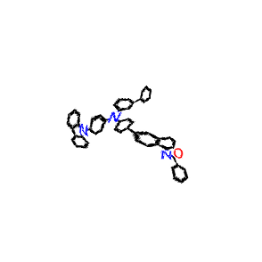 c1ccc(-c2cccc(N(c3ccc(-c4ccc5c(ccc6oc(-c7ccccc7)nc65)c4)cc3)c3ccc(-n4c5ccccc5c5ccccc54)cc3)c2)cc1